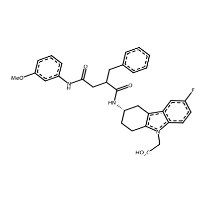 COc1cccc(NC(=O)CC(Cc2ccccc2)C(=O)N[C@H]2CCc3c(c4cc(F)ccc4n3CC(=O)O)C2)c1